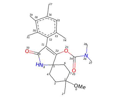 COC1(C)CCC2(CC1)NC(=O)C(c1c(C)cc(C)c(C)c1C)=C2OC(=O)N(C)C